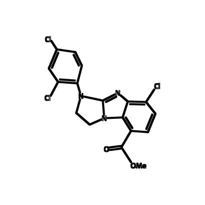 COC(=O)c1ccc(Cl)c2nc3n(c12)CCN3c1ccc(Cl)cc1Cl